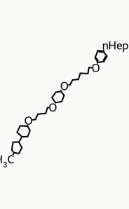 CCCCCCCc1ccc(OCCCCCCOC2CCC(OCCCCOC3CCC(C4CCC(C)CC4)CC3)CC2)cc1